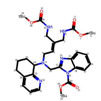 CC(C)(C)OC(=O)NCC(=CCN(Cc1nc2ccccc2n1C(=O)OC(C)(C)C)C1CCCc2cccnc21)CNC(=O)OC(C)(C)C